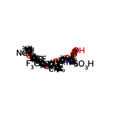 Cc1ccc(-c2cccc(Oc3ccc(C(c4ccc(Oc5cccc(C)c5C#N)cc4)(C(F)(F)F)C(F)(F)F)cc3)c2C#N)c(C(=O)c2ccc(Oc3ncc(S(=O)(=O)O)cc3SOOO)cc2)c1